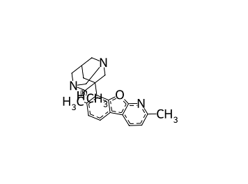 Cc1ccc2c(n1)oc1c(C34CC5CN(CN(C5)[C@@H]3C)C4)c(C)ccc12